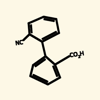 N#Cc1ccccc1-c1ccccc1C(=O)O